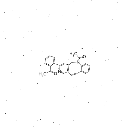 CC(=O)c1ccccc1-c1cc2c(cn1)C=Cc1ccccc1N(C(C)=O)C2